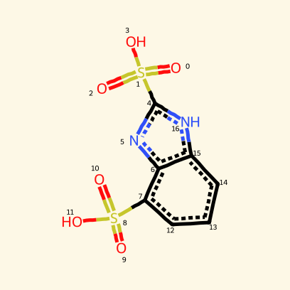 O=S(=O)(O)c1nc2c(S(=O)(=O)O)cccc2[nH]1